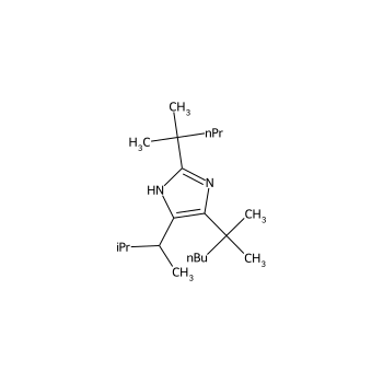 CCCCC(C)(C)c1nc(C(C)(C)CCC)[nH]c1C(C)C(C)C